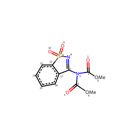 COC(=O)N(C(=O)OC)C1=NS(=O)(=O)c2ccccc21